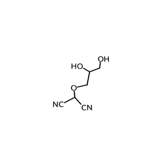 N#CC(C#N)OCC(O)CO